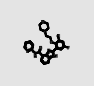 O=C(Nc1ccccn1)c1cccc2[nH]c(-c3cc(F)cc(Cl)c3OCCN3CCOCC3)nc12